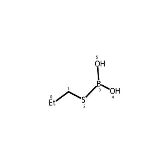 CCCSB(O)O